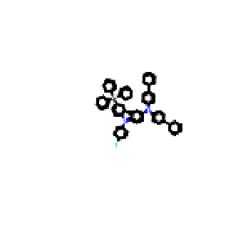 Fc1ccc(-n2c3ccc(N(c4ccc(-c5ccccc5)cc4)c4ccc(-c5ccccc5)cc4)cc3c3cc([Si](c4ccccc4)(c4ccccc4)c4ccccc4)ccc32)cc1